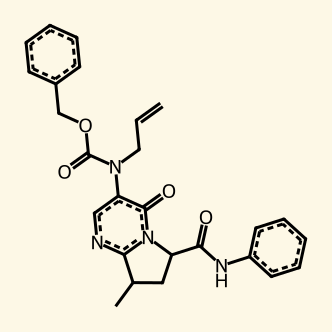 C=CCN(C(=O)OCc1ccccc1)c1cnc2n(c1=O)C(C(=O)Nc1ccccc1)CC2C